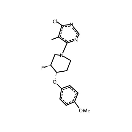 COc1ccc(O[C@H]2CCN(c3ncnc(Cl)c3C)C[C@H]2F)cc1